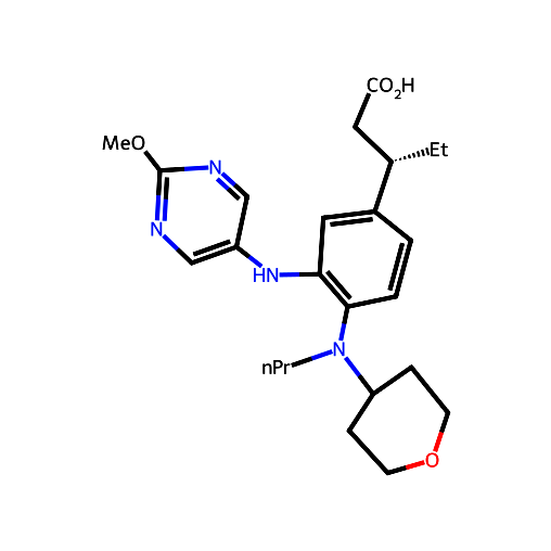 CCCN(c1ccc([C@@H](CC)CC(=O)O)cc1Nc1cnc(OC)nc1)C1CCOCC1